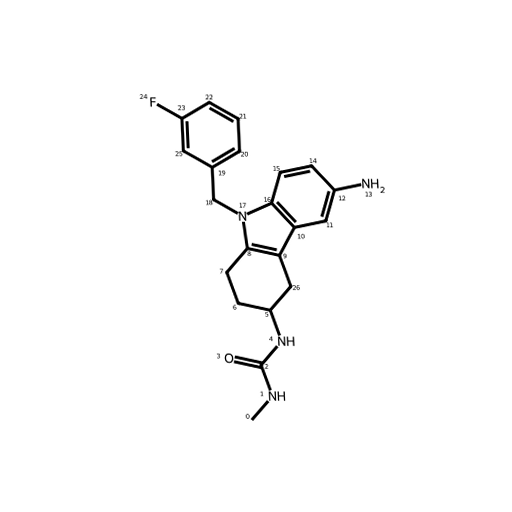 CNC(=O)NC1CCc2c(c3cc(N)ccc3n2Cc2cccc(F)c2)C1